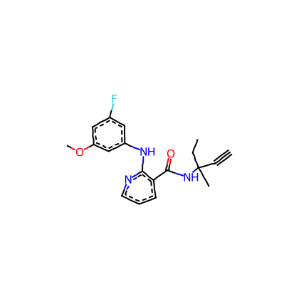 C#CC(C)(CC)NC(=O)c1cccnc1Nc1cc(F)cc(OC)c1